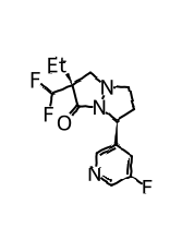 CC[C@@]1(C(F)F)CN2CC[C@@H](c3cncc(F)c3)N2C1=O